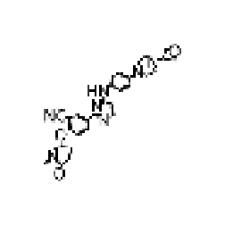 CN1CC(Oc2ccc(-c3nccc(Nc4ccc(N5CCN(C6COC6)CC5)cc4)n3)cc2C#N)CCC1=O